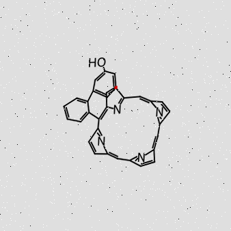 Oc1cccc(-c2ccccc2C2=C3C=CC(=N3)C=C3C=CC(=N3)C=C3C=CC(=N3)C=C3C=CC2=N3)c1